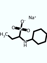 CCC(NC1CCCCC1)S(=O)(=O)[O-].[Na+]